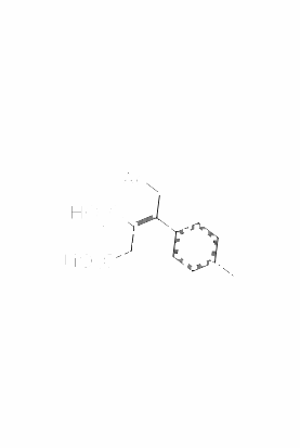 CC(=O)CC(=C(CC(=O)O)C(=O)O)c1ccc(C)cc1